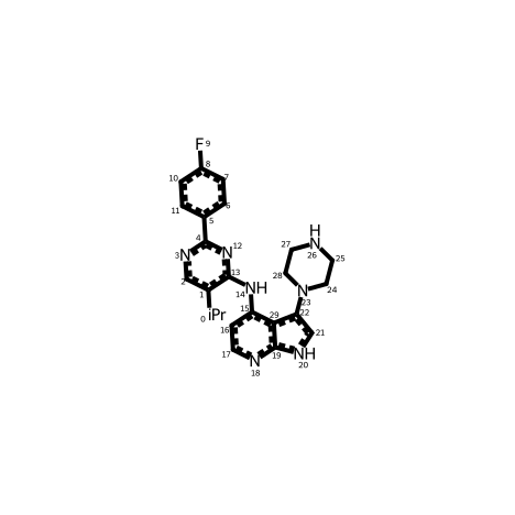 CC(C)c1cnc(-c2ccc(F)cc2)nc1Nc1ccnc2[nH]cc(N3CCNCC3)c12